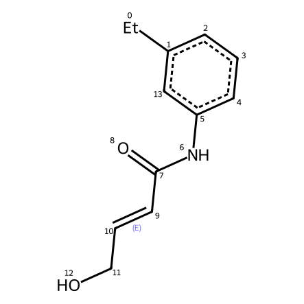 CCc1cccc(NC(=O)/C=C/CO)c1